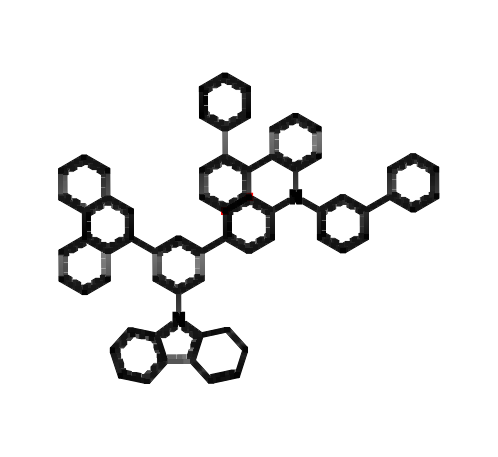 C1=Cc2c(n(-c3cc(-c4ccc(N(c5cccc(-c6ccccc6)c5)c5ccccc5-c5ccccc5-c5ccccc5)cc4)cc(-c4cc5ccccc5c5ccccc45)c3)c3ccccc23)CC1